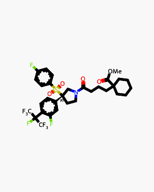 COC(=O)C1(CCCC(=O)N2CC[C@](c3ccc(C(F)(C(F)(F)F)C(F)(F)F)c(F)c3)(S(=O)(=O)c3ccc(F)cc3)C2)CCCCC1